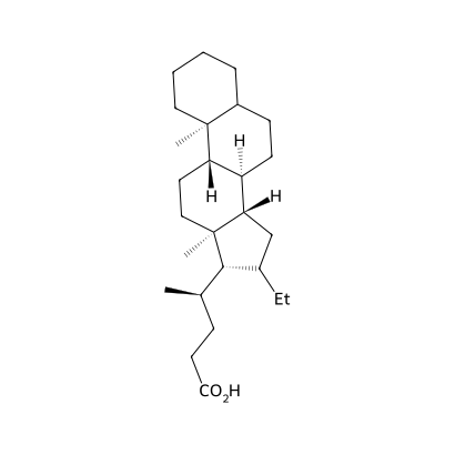 CCC1C[C@H]2[C@@H]3CCC4CCCC[C@]4(C)[C@H]3CC[C@]2(C)[C@H]1[C@H](C)CCC(=O)O